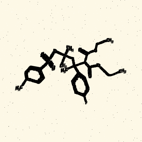 CCOC(=O)C(C(=O)OCC)C(C)(CS(C)(C)OS(=O)(=O)c1ccc(C)cc1)c1ccc(F)cc1